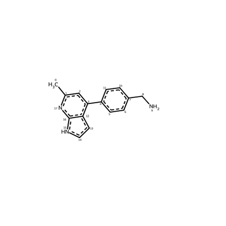 Cc1cc(-c2ccc(CN)cc2)c2cc[nH]c2n1